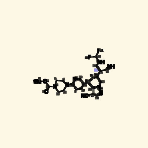 CC(C)(C)OC(=O)N1CCN(c2ccc(-c3cc(/C(C=N)=C/NC(F)F)cn4ncc(C#N)c34)cn2)CC1